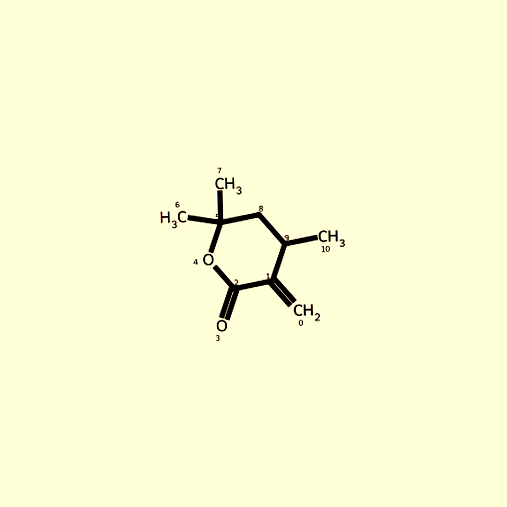 C=C1C(=O)OC(C)(C)CC1C